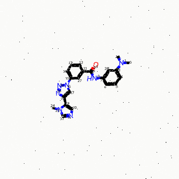 CN(C)c1cccc(NC(=O)c2cccc(-n3cc(-c4cncn4C)nn3)c2)c1